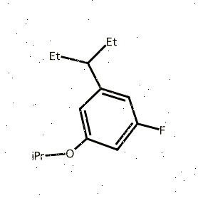 CCC(CC)c1cc(F)cc(OC(C)C)c1